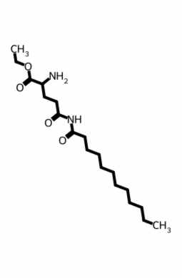 CCCCCCCCCCCC(=O)NC(=O)CCC(N)C(=O)OCC